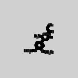 CCOC(=O)Oc1ccc(C(CC(C)OC(=O)CC(C)CC)[C@H](N)C(=O)O)cc1OC(=O)OCC